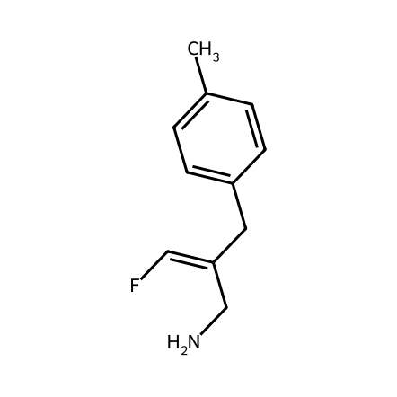 Cc1ccc(CC(=CF)CN)cc1